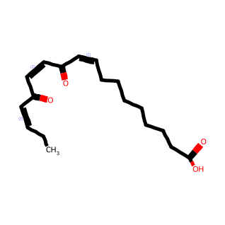 CC/C=C\C(=O)/C=C\C(=O)/C=C\CCCCCCCC(=O)O